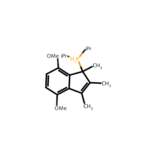 COc1ccc(OC)c2c1C(C)=C(C)C2(C)[PH2](C(C)C)C(C)C